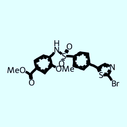 COC(=O)c1ccc(NS(=O)(=O)c2ccc(-c3cnc(Br)s3)cc2)c(OC)c1